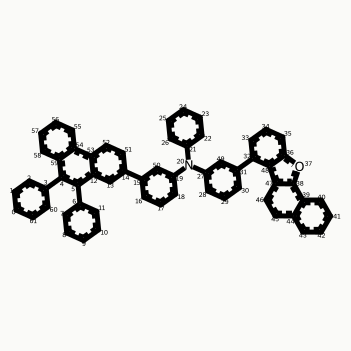 c1ccc(-c2c(-c3ccccc3)c3cc(-c4cccc(N(c5ccccc5)c5cccc(-c6cccc7oc8c9ccccc9ccc8c67)c5)c4)ccc3c3ccccc23)cc1